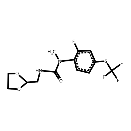 CN(C(=O)NCC1OCCO1)c1ccc(SC(F)(F)F)cc1F